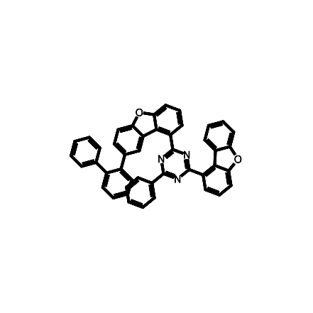 c1ccc(-c2nc(-c3cccc4oc5ccccc5c34)nc(-c3cccc4oc5ccc(-c6ccccc6-c6ccccc6)cc5c34)n2)cc1